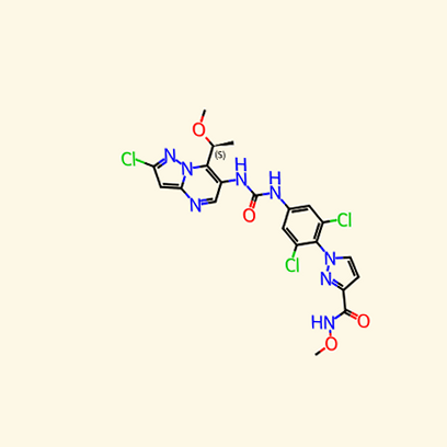 CONC(=O)c1ccn(-c2c(Cl)cc(NC(=O)Nc3cnc4cc(Cl)nn4c3[C@H](C)OC)cc2Cl)n1